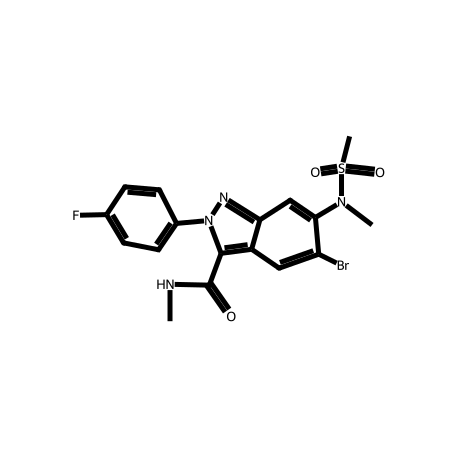 CNC(=O)c1c2cc(Br)c(N(C)S(C)(=O)=O)cc2nn1-c1ccc(F)cc1